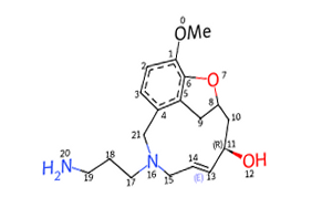 COc1ccc2c3c1OC(C3)C[C@@H](O)/C=C/CN(CCCN)C2